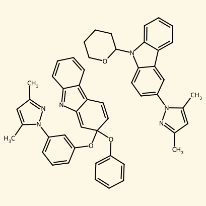 Cc1cc(C)n(-c2ccc3c(c2)c2ccccc2n3C2CCCCO2)n1.Cc1cc(C)n(-c2cccc(OC3(Oc4ccccc4)C=CC4=c5ccccc5=NC4=C3)c2)n1